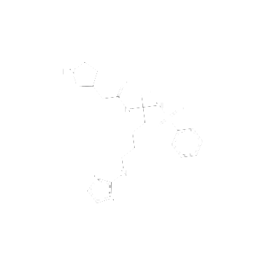 O=C(CC1CCNO1)NC(CCCCNc1ncc[nH]1)(NS(=O)(=O)c1ccccc1)C(=O)O